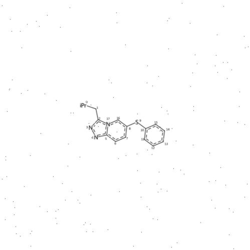 CC(C)Cc1nnc2ccc(Sc3ccccc3)cn12